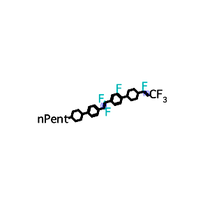 CCCCCC1CCC(c2ccc(/C(F)=C(\F)c3ccc(C4CCC(/C(F)=C/C(F)(F)F)CC4)c(F)c3)cc2)CC1